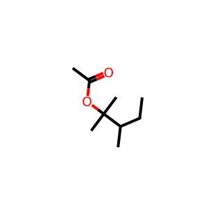 CCC(C)C(C)(C)OC(C)=O